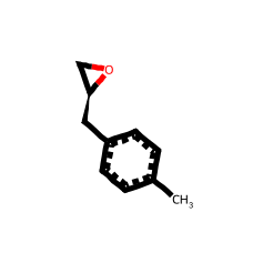 Cc1ccc(C[C@H]2CO2)cc1